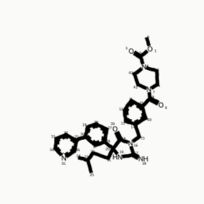 COC(=O)N1CCN(C(=O)c2cccc(CN3C(=N)NC(CCC(C)C)(c4cccc(-c5cccnc5)c4)C3=O)c2)CC1